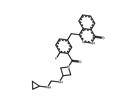 O=C(c1cc(Cc2n[nH]c(=O)c3ccccc23)ccc1F)N1CC(NCNC2CC2)C1